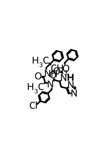 CC(C(=O)NCC(C)(C)c1ccccc1)N(Cc1ccc(Cl)cc1)C(=O)C(Cc1cnc[nH]1)NC(=O)OCc1ccccc1